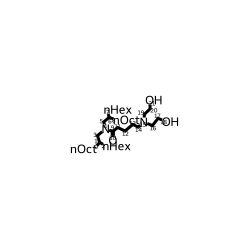 CCCCCCCCC(CCCCCC)CN(CC(CCCCCC)CCCCCCCC)C(=O)CCCCN(CCO)CCO